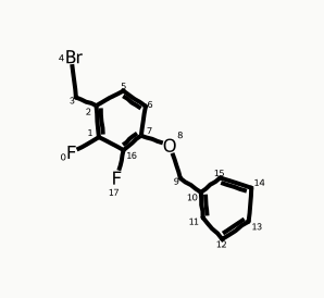 Fc1c(CBr)ccc(OCc2ccccc2)c1F